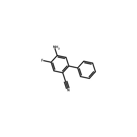 N#Cc1cc(F)c(N)cc1-c1ccccc1